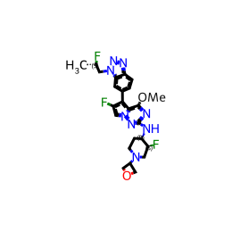 COc1nc(N[C@@H]2CCN(C3COC3)C[C@@H]2F)nn2cc(F)c(-c3ccc4nnn(C[C@H](C)F)c4c3)c12